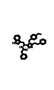 CCc1ccc(Cn2c(CCc3ccccc3)nnc2C(Cc2c[nH]c3ccccc23)NC(=O)Cc2cccnc2)cc1